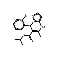 CC1=C(C(=O)OC(C)C)C(c2ccccc2Br)n2nccc2N1